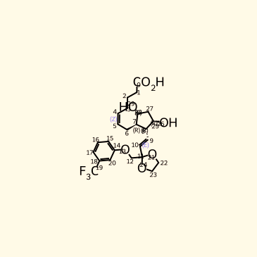 O=C(O)CCC/C=C\C[C@@H]1[C@@H](/C=C/C2(COc3cccc(C(F)(F)F)c3)OCCO2)[C@H](O)C[C@@H]1O